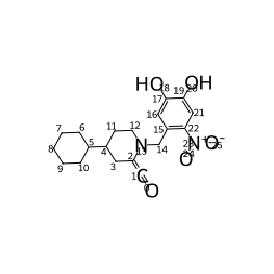 O=C=C1CC(C2CCCCC2)CCN1Cc1cc(O)c(O)cc1[N+](=O)[O-]